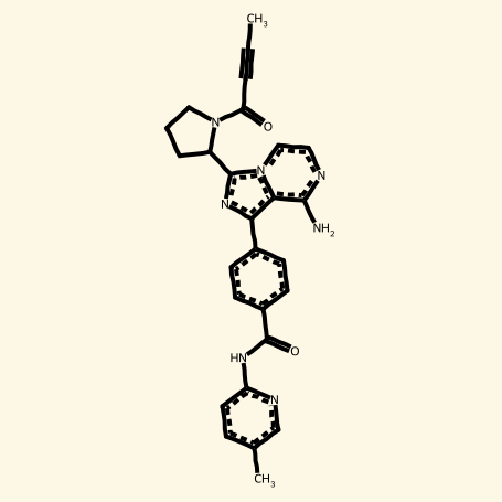 CC#CC(=O)N1CCCC1c1nc(-c2ccc(C(=O)Nc3ccc(C)cn3)cc2)c2c(N)nccn12